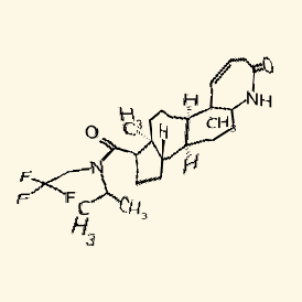 CC(C)N(CC(F)(F)F)C(=O)C1CC[C@H]2[C@@H]3CCC4NC(=O)C=C[C@]4(C)[C@@H]3CC[C@]12C